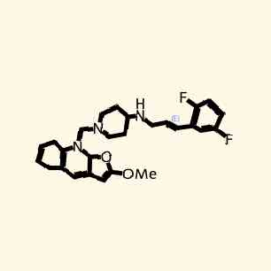 COC1=CC2=CC3=C(CC=CC3)N(CN3CCC(NC/C=C/c4cc(F)ccc4F)CC3)C2O1